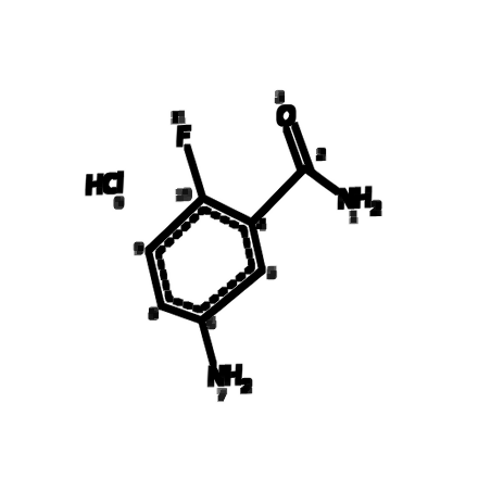 Cl.NC(=O)c1cc(N)ccc1F